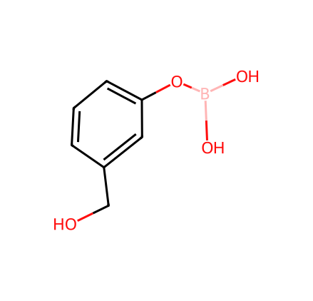 OCc1cccc(OB(O)O)c1